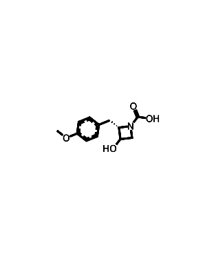 COc1ccc(C[C@H]2C(O)CN2C(=O)O)cc1